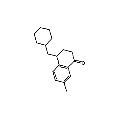 Cc1ccc2c(c1)C(=O)CCC2CC1CCCCC1